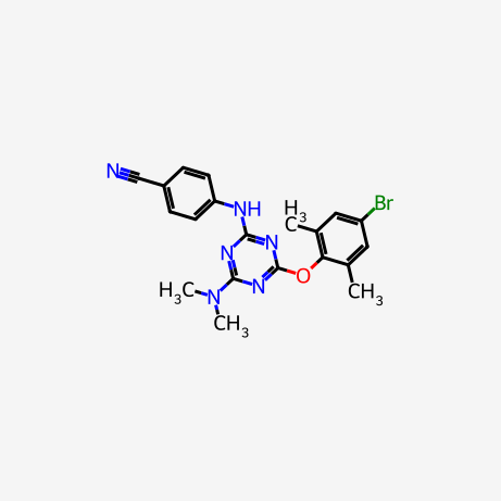 Cc1cc(Br)cc(C)c1Oc1nc(Nc2ccc(C#N)cc2)nc(N(C)C)n1